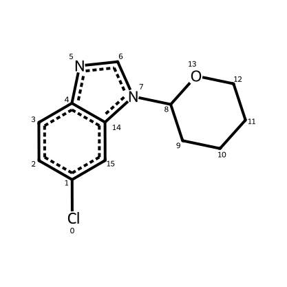 Clc1ccc2ncn(C3CCCCO3)c2c1